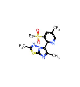 CCS(=O)(=O)c1cc(C(F)(F)F)cnc1-c1c(C)nc2sc(C(F)(F)F)nn12